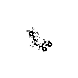 Cc1cc(O)c(C)c(C)c1C(N)CC(=O)NC(C)(C)CNC(=O)C(CN(Cc1ccccc1)C(=O)O)c1ccccc1